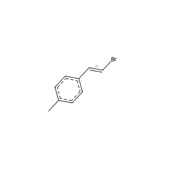 Cc1ccc(/C=C/Br)cc1